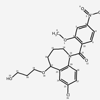 COc1cc([N+](=O)[O-])ccc1C(=O)N1CCCC(OCCCO)c2cc(Cl)ccc21